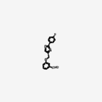 O=Cc1cccc(OCc2coc(-c3ccc(F)cc3)n2)c1